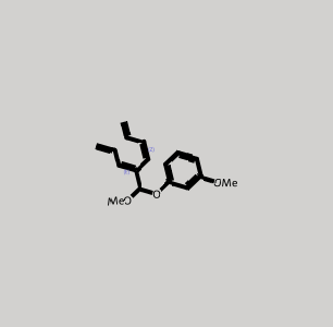 C=C/C=C\C(=C/C=C)C(OC)Oc1cccc(OC)c1